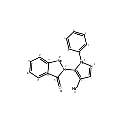 N#Cc1cnn(-c2ccccc2)c1-n1[se]c2ccccc2c1=O